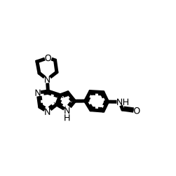 O=CNc1ccc(-c2cc3c(N4CCOCC4)ncnc3[nH]2)cc1